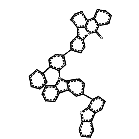 O=c1c2ccccc2c2cccc3c4cc(-c5ccc(-c6ccccc6)c(-n6c7ccccc7c7cc(-c8cccc9c8sc8ccccc89)ccc76)c5)ccc4n1c23